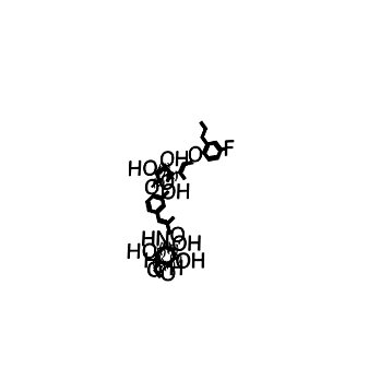 CCCc1cc(F)ccc1OCC=C(C)[C@H]1O[C@@H](Oc2ccc(C=C(C)C(=O)N[C@@H]3[C@H](O)[C@@H](O)[C@H]4OCO[C@H]4[C@@H]3O)cc2O)[C@@H](O)[C@@H]1O